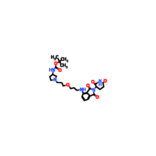 CC(C)(C)OC(=O)NC1CCN(CCCOCCCNc2cccc3c2C(=O)N(C2CCC(=O)NC2=O)C3=O)C1